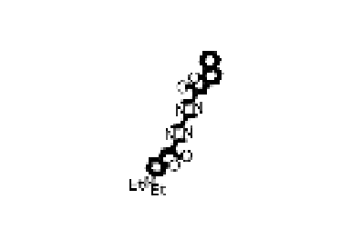 CCN(CC)c1ccc2cc(-c3cnc(-c4cnc(-c5cc6ccc7ccccc7c6oc5=O)cn4)cn3)c(=O)oc2c1